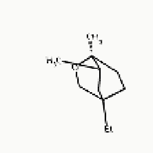 CCC12CC[C@](C)(OC1)C(C)C2